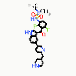 CCN(C)S(=O)(=O)Nc1ccc(F)c(C(=O)c2c[nH]c3ccc(-c4ccc(C=C5CCNCC5)nc4)cc23)c1F